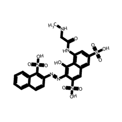 CNCC(=O)Nc1cc(S(=O)(=O)O)cc2cc(S(=O)(=O)O)c(N=Nc3ccc4ccccc4c3S(=O)(=O)O)c(O)c12